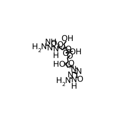 NC(N)=NC(=O)N[C@H]1C[C@@H](OP(=O)(O)OCC2O[C@@H](n3cnc4c(=O)[nH]c(N)nc43)C[C@H]2O)C(CO)O1